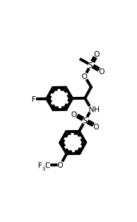 CS(=O)(=O)OCC(NS(=O)(=O)c1ccc(OC(F)(F)F)cc1)c1ccc(F)cc1